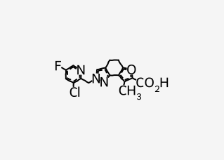 Cc1c(C(=O)O)oc2c1-c1nn(Cc3ncc(F)cc3Cl)cc1CC2